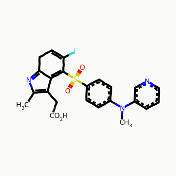 CC1=C(CC(=O)O)C2=C(S(=O)(=O)c3ccc(N(C)c4cccnc4)cc3)C(F)=CCC2=N1